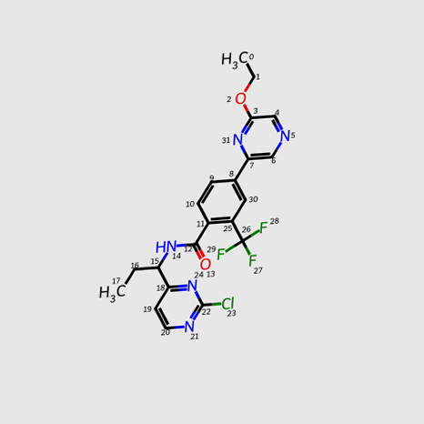 CCOc1cncc(-c2ccc(C(=O)NC(CC)c3ccnc(Cl)n3)c(C(F)(F)F)c2)n1